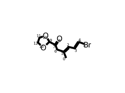 CC(=CC=CBr)CC(=O)C1OCCO1